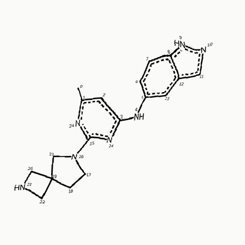 Cc1cc(Nc2ccc3[nH]ncc3c2)nc(N2CCC3(CNC3)C2)n1